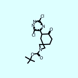 CC(C)(C)OC(=O)N1CC2(CCC(=O)C(c3nc(Cl)nnc3Cl)C2)C1